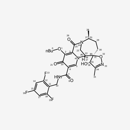 CCCCOc1c2n(cc(C(=O)NCc3c(F)cc(F)cc3F)c1=O)[C@@H]1CN(C2=O)[C@@H](C)CC[C@@]12ON=C(C)[C@@H]2O